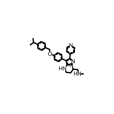 CNCC1CCNc2c(-c3ccc(OCc4ccc(C(C)C)cc4)cc3)c(-c3ccncc3)nn21